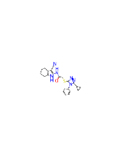 N#Cc1c(NC(=O)CSc2nnc(C3CC3)n2-c2ccccc2)[nH]c2c1CCCC2